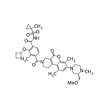 COC[C@H]1CN(c2cc(C)c3c4c(c(=O)oc3c2C)CN(C(=O)c2ccc(C(=O)NS(=O)(=O)C3(C)CC3)c(OC3CCC3)c2C)CC4)CCN1C